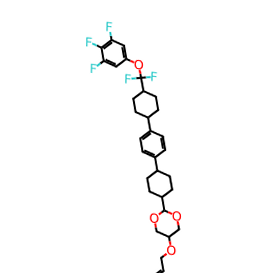 C=CCOC1COC(C2CCC(c3ccc(C4CCC(C(F)(F)Oc5cc(F)c(F)c(F)c5)CC4)cc3)CC2)OC1